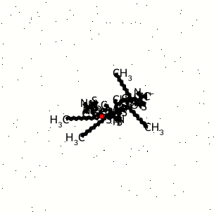 [C-]#[N+]/C(C#N)=C1/C(=C/c2sc(-c3sc4c(sc5c6c7nsnc7c7c8sc9c(CCCCCCCCCCC)c(-c%10cc(CCCCCCCCCCC)c(/C=C%11\C(=O)c%12cscc%12\C%11=C(/C#N)[N+]#[C-])s%10)sc9c8n(CC(CC)CCCC)c7c6n(CC(CC)CCCC)c45)c3CCCCCCCCCCC)cc2CCCCCCCCCCC)C(=O)c2cscc21